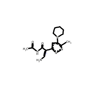 CC(=O)NC(=O)/C(=C\N)c1cc(N2CCCCC2)c(C)nn1